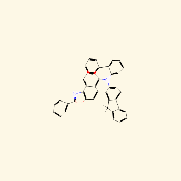 CC1(C)c2ccccc2-c2ccc(N(c3ccccc3-c3ccccc3)c3cccc4c3ccc3oc(-c5ccccc5)nc34)cc21